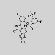 Cn1nc2cc(NC(=O)c3cc(F)cc(C(F)(F)F)c3)c3c(c2n1)C(=O)NC3c1cc(F)ccc1Cl